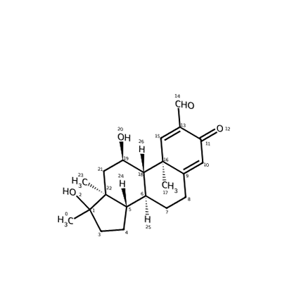 CC1(O)CC[C@H]2[C@@H]3CCC4=CC(=O)C(C=O)=C[C@]4(C)[C@H]3[C@H](O)C[C@@]21C